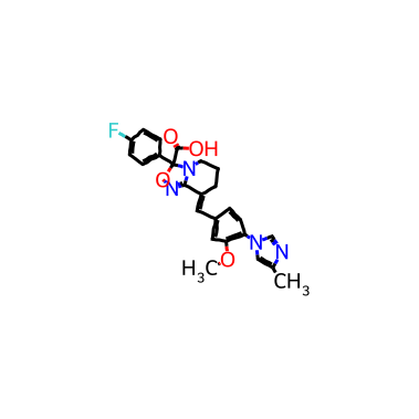 COc1cc(/C=C2\CCCN3C2=NOC3(C(=O)O)c2ccc(F)cc2)ccc1-n1cnc(C)c1